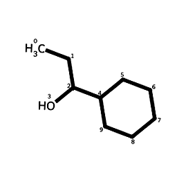 CC[C](O)C1CCCCC1